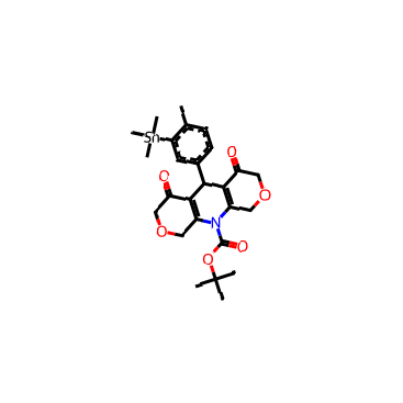 Cc1ccc(C2C3=C(COCC3=O)N(C(=O)OC(C)(C)C)C3=C2C(=O)COC3)c[c]1[Sn]([CH3])([CH3])[CH3]